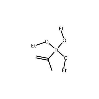 C=[C](C)[Ti]([O]CC)([O]CC)[O]CC